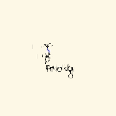 CN(C)C(=O)/C=C/C(=O)N[C@]1(C)CCCN(Cc2ccnc(C(=O)Nc3ccc(-c4cc5c(N6CCOCC6)ncnc5[nH]4)cc3)c2)C1